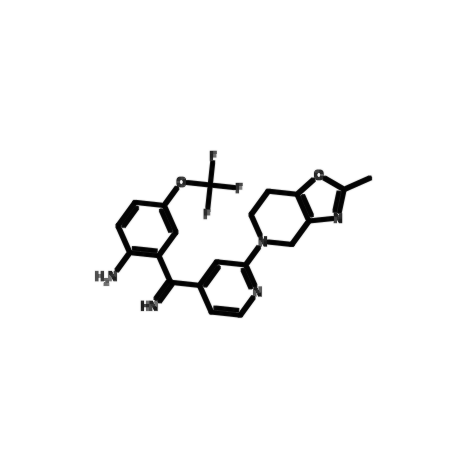 Cc1nc2c(o1)CCN(c1cc(C(=N)c3cc(OC(F)(F)F)ccc3N)ccn1)C2